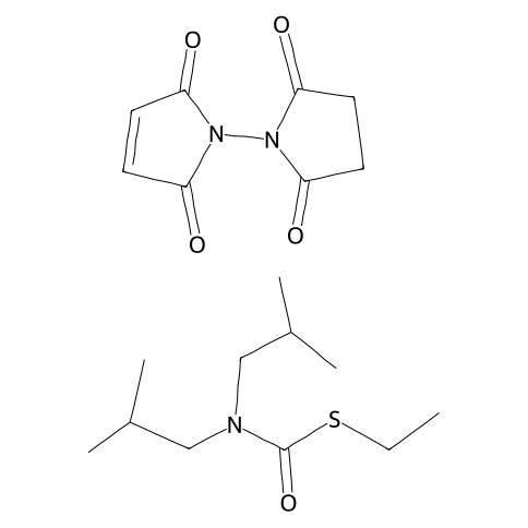 CCSC(=O)N(CC(C)C)CC(C)C.O=C1C=CC(=O)N1N1C(=O)CCC1=O